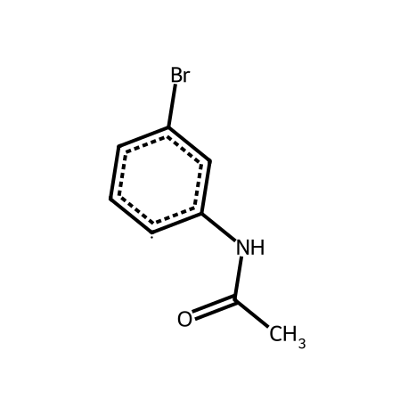 CC(=O)Nc1[c]ccc(Br)c1